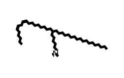 CCCCC/C=C\C/C=C\CCCCCCCCC(CCCCCCCCCCCCCCCCCC)CCCCCCN(C)C